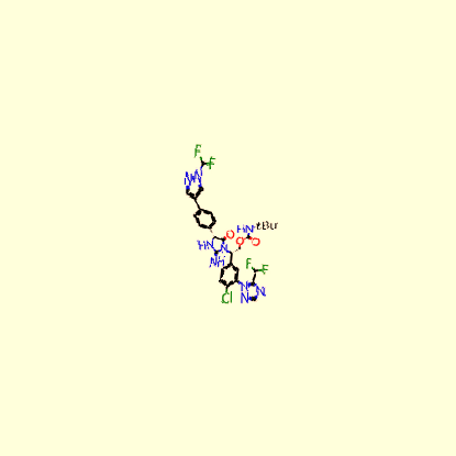 CC(C)(C)NC(=O)OC[C@H](c1ccc(Cl)c(-n2ncnc2C(F)F)c1)N1C(=N)N[C@H](c2ccc(-c3cnn(C(F)F)c3)cc2)C1=O